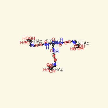 CC(=O)N[C@@H]1[C@@H](O)[C@@H](O)[C@@H](CO)O[C@@H]1c1ccn(CCOCCOCCNC(=O)NCCCC(CCCNC(=O)NCCOCCOCCn2ccc([C@H]3O[C@H](CO)[C@H](O)[C@H](O)[C@H]3NC(C)=O)n2)(CCCNC(=O)NCCOCCOCCn2ccc([C@H]3O[C@H](CO)[C@H](O)[C@H](O)[C@H]3NC(C)=O)n2)NC(=O)C(F)(F)F)n1